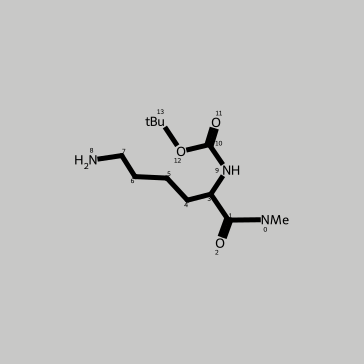 CNC(=O)C(CCCCN)NC(=O)OC(C)(C)C